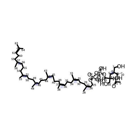 CC(=O)NC(/C=C(/CO)[C@H](C)O)(CO)C(O)OP(=O)(O)OP(=O)(O)OC/C=C(/C)CC/C=C(/C)CC/C=C(/C)CC/C=C(/C)CC/C=C(/C)CC/C=C(\C)CC/C=C(\C)CCC=C(C)C